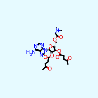 CC(=O)CCC(=O)OC1[C@@H](COC(=O)CN(C)C)O[C@@H](n2cnc3c(N)ncnc32)[C@H]1OC(=O)CCC(C)=O